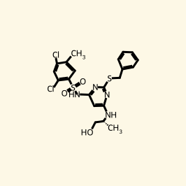 Cc1cc(S(=O)(=O)Nc2cc(N[C@H](C)CO)nc(SCc3ccccc3)n2)c(Cl)cc1Cl